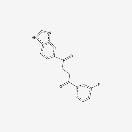 O=C(CCC(=O)c1ccc2[nH]cnc2c1)c1cccc(F)c1